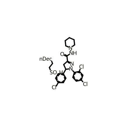 CCCCCCCCCCCCS(=O)(=O)O.O=C(NN1CCCCC1)C1=NN(c2ccc(Cl)cc2Cl)C(c2ccc(Cl)cc2)C1